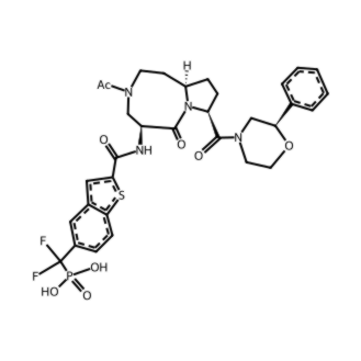 CC(=O)N1CC[C@H]2CC[C@@H](C(=O)N3CCO[C@H](c4ccccc4)C3)N2C(=O)[C@@H](NC(=O)c2cc3cc(C(F)(F)P(=O)(O)O)ccc3s2)C1